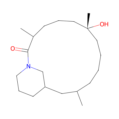 CC1CCCC[C@@](C)(O)CCCC(C)C(=O)N2CCCC(C1)C2